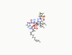 CCCCC/C=C\C1C[C@]1(NC(=O)[C@@H]1CCCN1C(=O)CNC(=O)NC(CN1Cc2sccc2S1(=O)=O)C(C)(C)C)C(=O)O